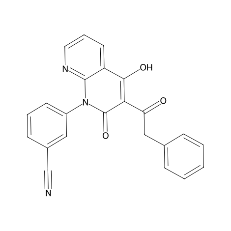 N#Cc1cccc(-n2c(=O)c(C(=O)Cc3ccccc3)c(O)c3cccnc32)c1